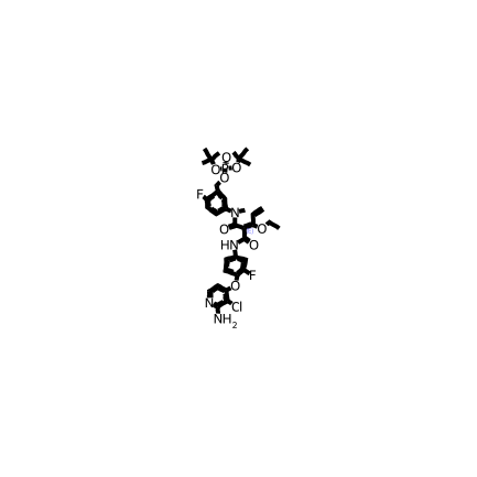 C=C/C(OCC)=C(/C(=O)Nc1ccc(Oc2ccnc(N)c2Cl)c(F)c1)C(=O)N(C)c1ccc(F)c(COP(=O)(OC(C)(C)C)OC(C)(C)C)c1